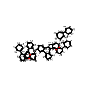 c1ccc(-c2ccccc2N(c2ccc3c(c2)sc2c4ccc(N(c5ccccc5-c5ccccc5)c5cccc6c5oc5c(-c7ccccc7)cccc56)cc4c4ccccc4c32)c2cccc3c2oc2ccccc23)cc1